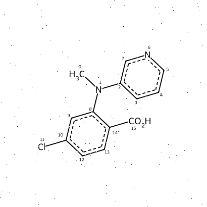 CN(c1cccnc1)c1cc(Cl)ccc1C(=O)O